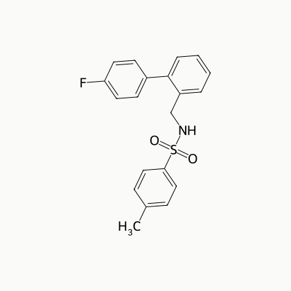 Cc1ccc(S(=O)(=O)NCc2ccccc2-c2ccc(F)cc2)cc1